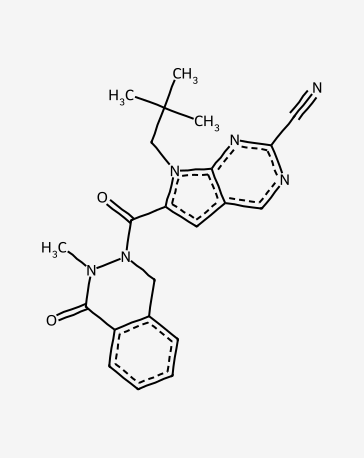 CN1C(=O)c2ccccc2CN1C(=O)c1cc2cnc(C#N)nc2n1CC(C)(C)C